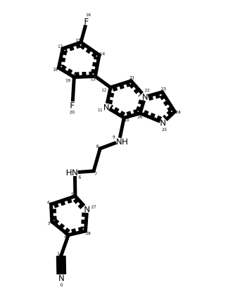 N#Cc1ccc(NCCNc2nc(-c3cc(F)ccc3F)cn3ccnc23)nc1